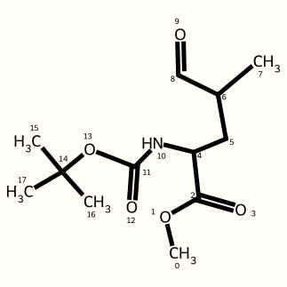 COC(=O)C(CC(C)C=O)NC(=O)OC(C)(C)C